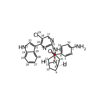 Nc1ccc(C(=O)N2[C@@H]3CC[C@H]2C[C@@H](Nc2ncc(Cl)c(-c4c[nH]c5ccccc45)n2)C3)cc1